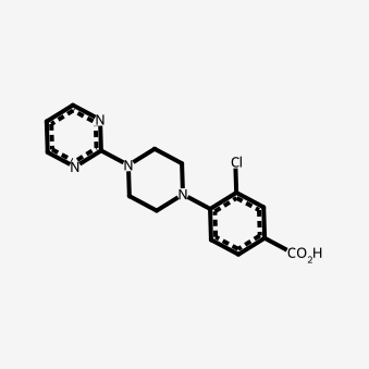 O=C(O)c1ccc(N2CCN(c3ncccn3)CC2)c(Cl)c1